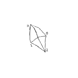 C12C3C1C23